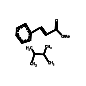 CC(C)C(C)C.COC(=O)/C=C/c1ccccc1